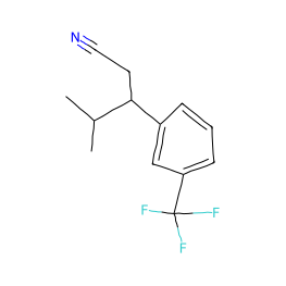 CC(C)C(CC#N)c1cccc(C(F)(F)F)c1